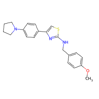 COc1ccc(CNc2nc(-c3ccc(N4CCCC4)cc3)cs2)cc1